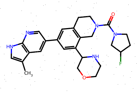 Cc1c[nH]c2ncc(-c3cc4c(c(C5COCCN5)c3)CN(C(=O)N3CCC(F)C3)CC4)cc12